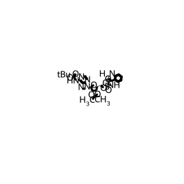 CC(C)(C)OC(=O)Nc1ncnc2c1ncn2[C@@H]1O[C@H](COS(=O)(=O)NC(=O)c2ccccc2N)C2OC(C)(C)OC21